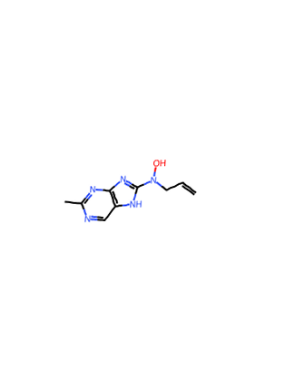 C=CCN(O)c1nc2nc(C)ncc2[nH]1